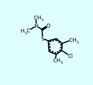 Cc1cc(SC(=O)N(C)C)cc(C)c1Cl